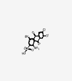 Nc1c(S(=O)(=O)O)cc(Br)c2c1C(=O)c1cc(Cl)c(Cl)cc1C2=O